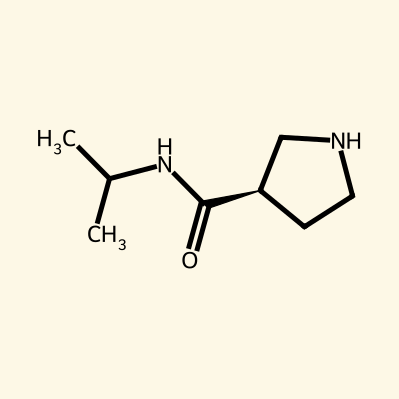 CC(C)NC(=O)[C@@H]1CCNC1